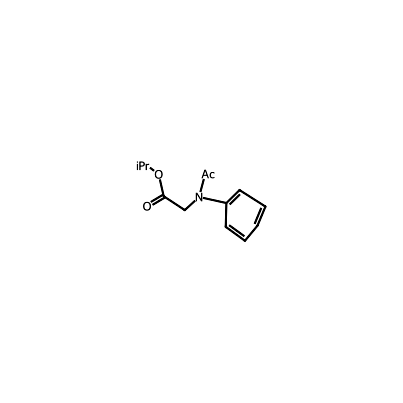 CC(=O)N(CC(=O)OC(C)C)c1ccccc1